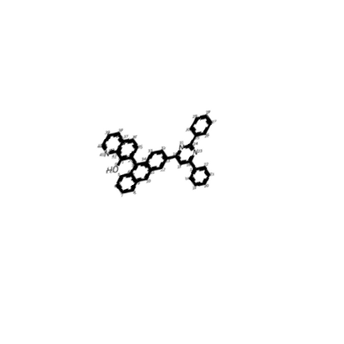 Oc1c(-c2c3ccccc3cc3cc(-c4cc(-c5ccccc5)nc(-c5ccccc5)n4)ccc23)ccc2cccnc12